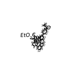 CCOC(=O)c1cnn(-c2cccc(-c3cccc4c3C(Nc3ncc(C5CCN(C(=O)C6CC6)CC5)cc3C)CC4)n2)c1C